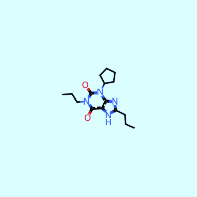 CCCc1nc2c([nH]1)c(=O)n(CCC)c(=O)n2C1CCCC1